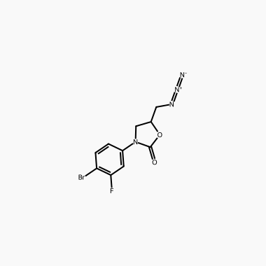 [N-]=[N+]=NCC1CN(c2ccc(Br)c(F)c2)C(=O)O1